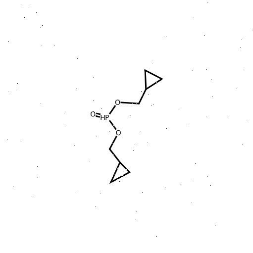 O=[PH](OCC1CC1)OCC1CC1